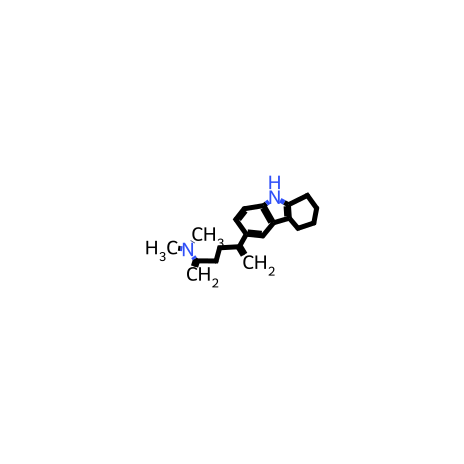 C=C(CCC(=C)N(C)C)c1ccc2[nH]c3c(c2c1)CCCC3